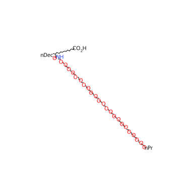 CCCCCCCCCCCC(CCCCCCCCCCC(=O)O)C(=O)NCCOCCOCCOCCOCCOCCOCCOCCOCCOCCOCCOCCOCCOCCOCCOCCOCCOCCOCCOCCOCCOCCOCCOCCC